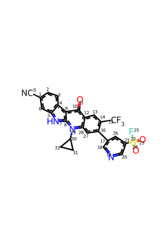 N#Cc1ccc2c(c1)[nH]c1c2c(=O)c2cc(C(F)(F)F)c(-c3cncc(S(=O)(=O)F)c3)cc2n1C1CC1